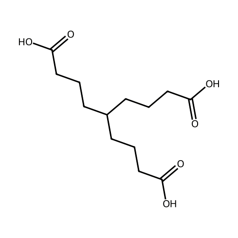 O=C(O)CCCC(CCCC(=O)O)CCCC(=O)O